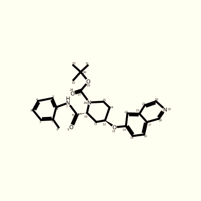 Cc1ccccc1NC(=O)[C@H]1C[C@H](Oc2ccc3cnccc3c2)CCN1C(=O)OC(C)(C)C